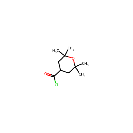 CC1(C)CC(C(=O)Cl)CC(C)(C)O1